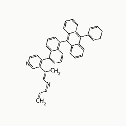 C=C/C=N\C=C(/C)c1cnccc1-c1cccc2c(-c3c4ccccc4c(C4=CCCC=C4)c4ccccc34)cccc12